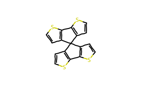 c1cc2c(s1)-c1sccc1C21c2ccsc2-c2sccc21